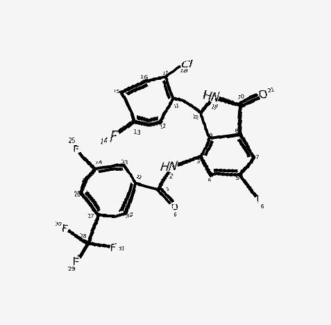 O=C(Nc1cc(I)cc2c1C(c1cc(F)ccc1Cl)NC2=O)c1cc(F)cc(C(F)(F)F)c1